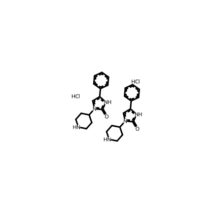 Cl.Cl.O=c1[nH]c(-c2ccccc2)cn1C1CCNCC1.O=c1[nH]c(-c2ccccc2)cn1C1CCNCC1